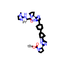 CC(C)[C@H](NC1=NCCN1C)C(=O)N1CCC[C@H]1c1ncc(-c2ccc(-c3ccc(-c4cnc([C@H]5CCCN5C(=O)OC(C)(C)C)[nH]4)cc3)cc2)[nH]1